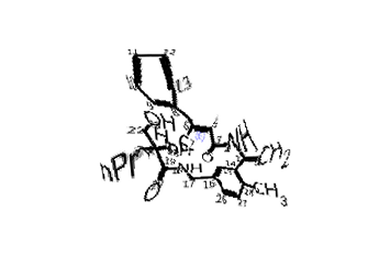 C=C(NC(=O)/C=C(\C)c1ccccc1)c1cc(CNC(=O)C(CO)(CCC)CCC)ccc1C